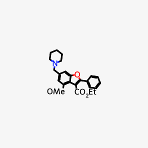 CCOC(=O)c1c(-c2ccccc2)oc2cc(CN3CCCCC3)cc(OC)c12